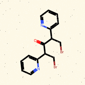 O=C(C(CBr)c1ccccn1)C(CBr)c1ccccn1